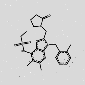 CCS(=O)(=O)Nc1c(C)c(C)cc2c1nc(CN1CCCC1=O)n2Cc1ccccc1C